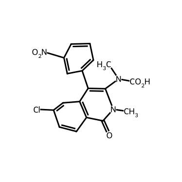 CN(C(=O)O)c1c(-c2cccc([N+](=O)[O-])c2)c2cc(Cl)ccc2c(=O)n1C